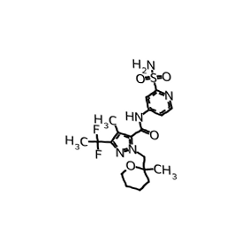 Cc1c(C(C)(F)F)nn(CC2(C)CCCCO2)c1C(=O)Nc1ccnc(S(N)(=O)=O)c1